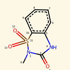 CN1C(=O)Nc2ccccc2S1(=O)=O